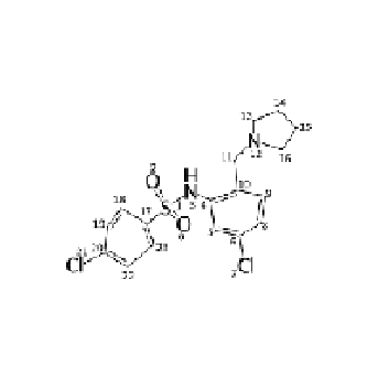 O=S(=O)(Nc1cc(Cl)ccc1CN1CCCC1)c1ccc(Cl)cc1